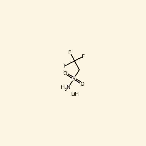 NS(=O)(=O)CC(F)(F)F.[LiH]